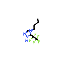 CCCCN1C=NNC1C(F)(F)C(F)(F)F